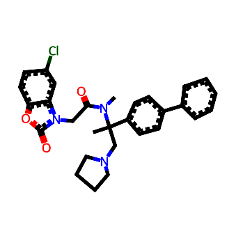 CN(C(=O)Cn1c(=O)oc2ccc(Cl)cc21)C(C)(CN1CCCC1)c1ccc(-c2ccccc2)cc1